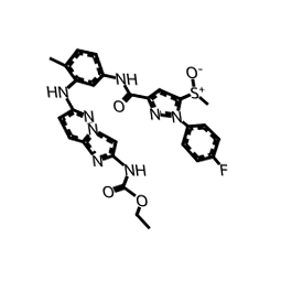 CCOC(=O)Nc1cn2nc(Nc3cc(NC(=O)c4cc([S+](C)[O-])n(-c5ccc(F)cc5)n4)ccc3C)ccc2n1